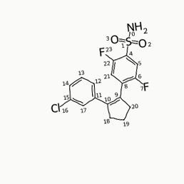 NS(=O)(=O)c1cc(F)c(C2=C(c3cccc(Cl)c3)CCC2)cc1F